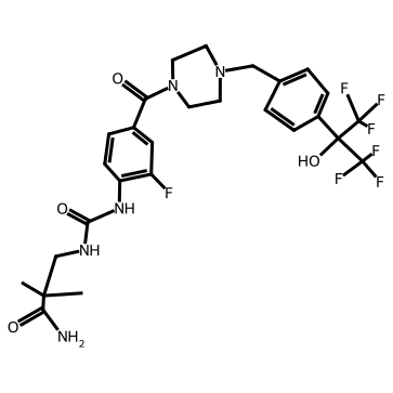 CC(C)(CNC(=O)Nc1ccc(C(=O)N2CCN(Cc3ccc(C(O)(C(F)(F)F)C(F)(F)F)cc3)CC2)cc1F)C(N)=O